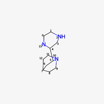 C1CNCC(C2CC3CCN2CC3)[N]1